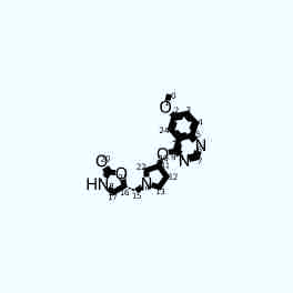 COc1ccc2ncnc(OC3CCN(C[C@@H]4CNC(=O)O4)C3)c2c1